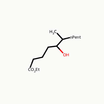 CCCCCC(C)C(O)CCCC(=O)OCC